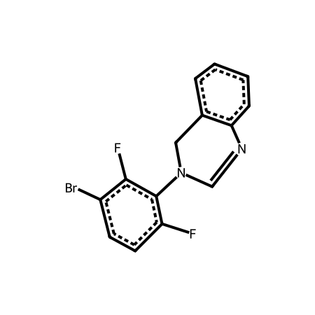 Fc1ccc(Br)c(F)c1N1C=Nc2ccccc2C1